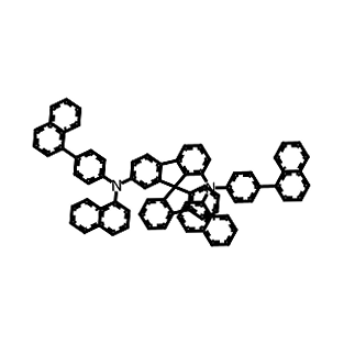 c1ccc2c(c1)-c1ccccc1C21c2cc(N(c3ccc(-c4cccc5ccccc45)cc3)c3cccc4ccccc34)ccc2-c2cccc(N(c3ccc(-c4cccc5ccccc45)cc3)c3cccc4ccccc34)c21